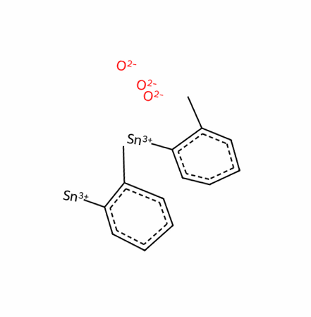 Cc1cccc[c]1[Sn+3].Cc1cccc[c]1[Sn+3].[O-2].[O-2].[O-2]